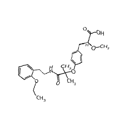 CCOc1ccccc1CCNC(=O)C(C)(C)Oc1ccc(C[C@H](OC)C(=O)O)cc1